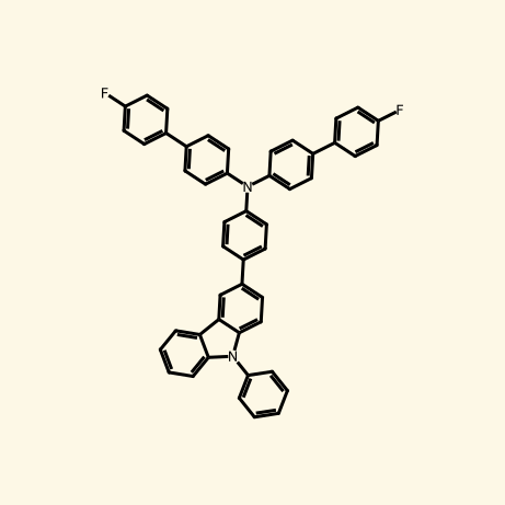 Fc1ccc(-c2ccc(N(c3ccc(-c4ccc(F)cc4)cc3)c3ccc(-c4ccc5c(c4)c4ccccc4n5-c4ccccc4)cc3)cc2)cc1